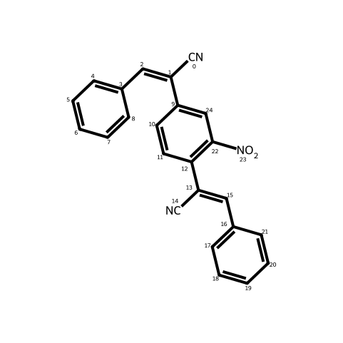 N#CC(=Cc1ccccc1)c1ccc(C(C#N)=Cc2ccccc2)c([N+](=O)[O-])c1